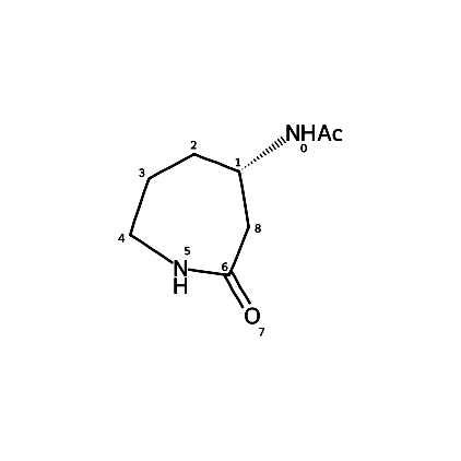 CC(=O)N[C@H]1CCCNC(=O)C1